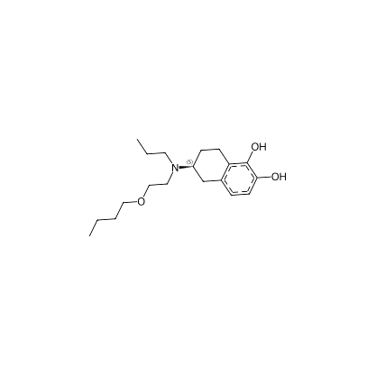 CCCCOCCN(CCC)[C@H]1CCc2c(ccc(O)c2O)C1